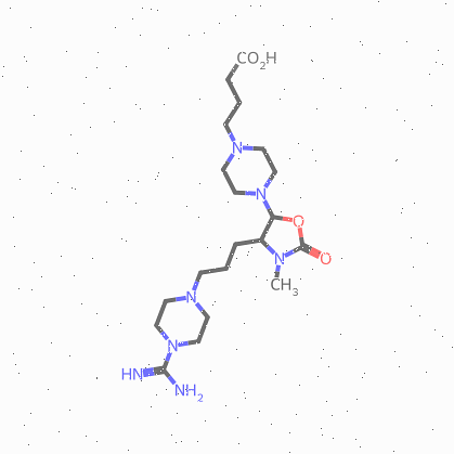 CN1C(=O)OC(N2CCN(CCCC(=O)O)CC2)C1CCCN1CCN(C(=N)N)CC1